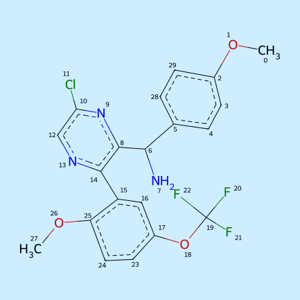 COc1ccc(C(N)c2nc(Cl)cnc2-c2cc(OC(F)(F)F)ccc2OC)cc1